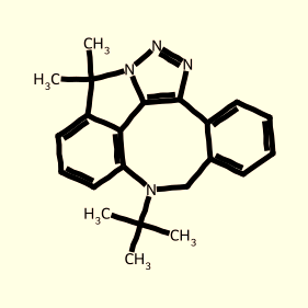 CC(C)(C)N1Cc2ccccc2-c2nnn3c2-c2c1cccc2C3(C)C